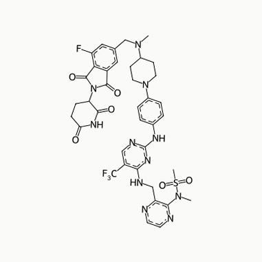 CN(Cc1cc(F)c2c(c1)C(=O)N(C1CCC(=O)NC1=O)C2=O)C1CCN(c2ccc(Nc3ncc(C(F)(F)F)c(NCc4nccnc4N(C)S(C)(=O)=O)n3)cc2)CC1